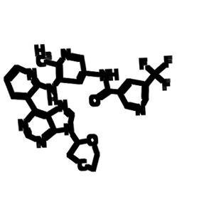 Cc1ncc(NC(=O)c2cncc(C(F)(F)F)c2)cc1Nc1ncccc1-c1ncnc2c1ncn2C1CCCCO1